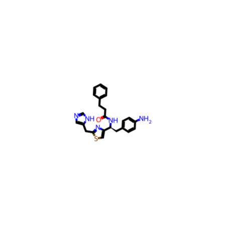 Nc1ccc(C[C@H](NC(=O)CCc2ccccc2)c2csc(Cc3cnc[nH]3)n2)cc1